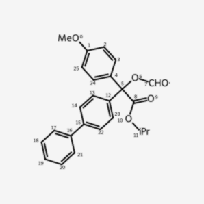 COc1ccc(C(O[C]=O)(C(=O)OC(C)C)c2ccc(-c3ccccc3)cc2)cc1